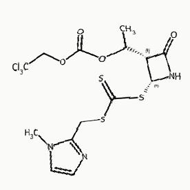 CC(OC(=O)OCC(Cl)(Cl)Cl)[C@@H]1C(=O)N[C@@H]1SC(=S)SCc1nccn1C